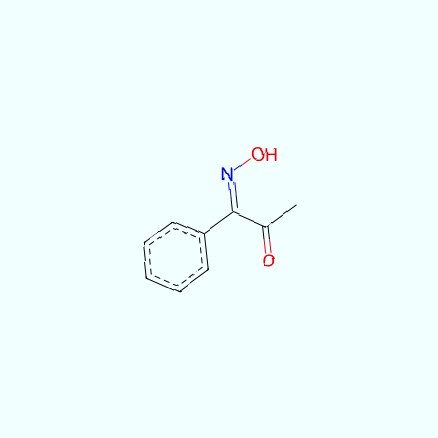 CC(=O)C(=NO)c1ccccc1